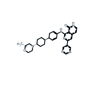 C[C@@H]1CN([C@H]2CC[C@H](C3C=CC(Nc4nc(-c5cncnc5)cc5cc[nH]c(=O)c45)=CC3)CC2)CCO1